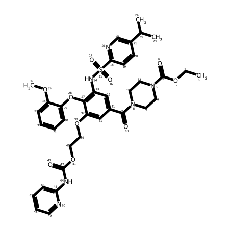 CCOC(=O)N1CCN(C(=O)c2cc(NS(=O)(=O)c3ccc(C(C)C)cn3)c(Oc3ccccc3OC)c(OCCOC(=O)Nc3ccccn3)c2)CC1